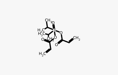 C=CC(=O)[O][Ti](=[O])([O]C(=O)C=C)([CH](C)C)[CH](C)C